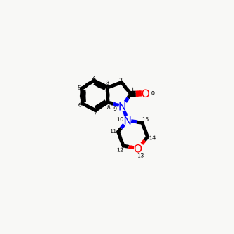 O=C1[CH]c2ccccc2N1N1CCOCC1